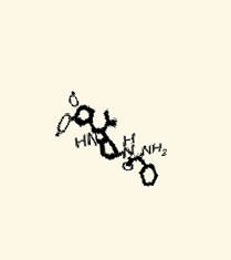 COc1ccc(-c2[nH]c3ccc(NC(=O)[C@@H](N)C4CCCCC4)cc3c2C(C)C)cc1OC